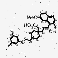 COc1ccc2ncc(F)c([C@H](O)CCC3(CC(=O)O)CCN(CCOc4cc(F)cc(F)c4)CC3)c2c1